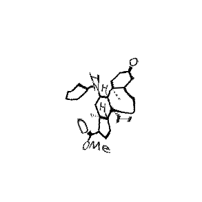 COC(=O)C1CC[C@H]2[C@@H]3CCC4CC(=O)CC[C@]4(C)[C@@H]3C(NC3CCCC3)C[C@]12C